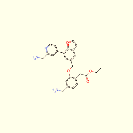 CCOC(=O)Cc1ccc(CN)cc1OCc1cc(-c2ccnc(CN)c2)c2occc2c1